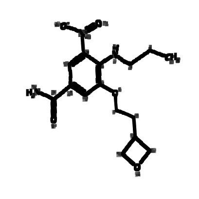 CCCNc1c(OCCC2COC2)cc(C(N)=O)cc1[N+](=O)[O-]